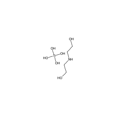 OCCNCCO.[OH][Ti]([OH])([OH])[OH]